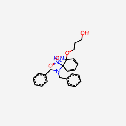 NC1(OCCCO)C=CC=CC1(N(Cc1ccccc1)Cc1ccccc1)[N+](=O)[O-]